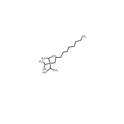 CCCCCCCCCC[PH](C(C)C)(C(C)C)C(C)C